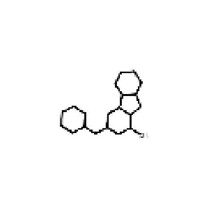 CC1CC(CC2CCCCC2)CC2C1CC1CCCCC12